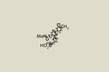 CNC(=O)COc1cnc(-c2ccc(C)c(Cl)c2)nc1N1CCC(CNC(=O)O)C1